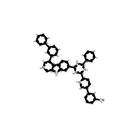 N#Cc1cccc(-c2ccc(-c3nc(-c4ccccc4)nc(-c4ccc5c(c4)oc4cncc(-c6cccc(-c7ccccc7)c6)c45)n3)nc2)c1